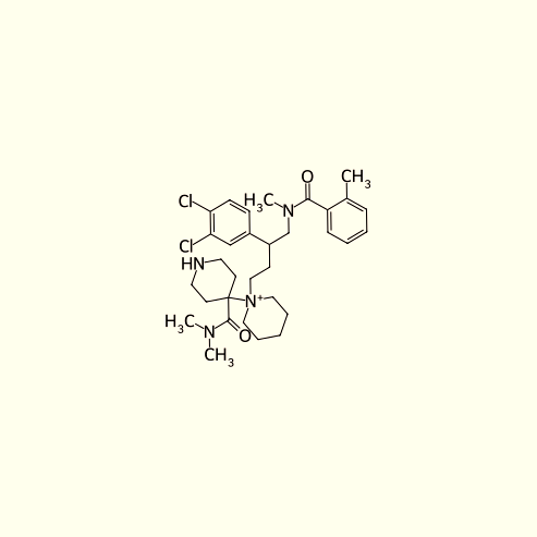 Cc1ccccc1C(=O)N(C)CC(CC[N+]1(C2(C(=O)N(C)C)CCNCC2)CCCCC1)c1ccc(Cl)c(Cl)c1